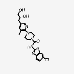 Cc1cc(C[C@@H](O)CO)cnc1N1CCN(C(=O)Nc2nc3ccc(Cl)cc3s2)CC1